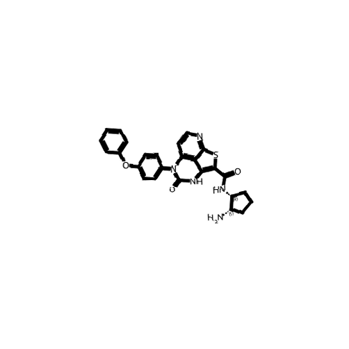 N[C@H]1CCC[C@H]1NC(=O)c1sc2nccc3c2c1NC(=O)N3c1ccc(Oc2ccccc2)cc1